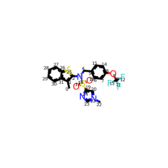 Cc1c(N(Cc2ccc(OC(F)(F)F)cc2)S(=O)(=O)c2cn(C)cn2)sc2ccccc12